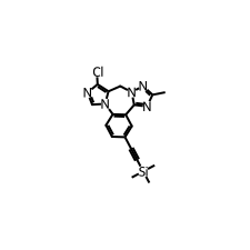 Cc1nc2n(n1)Cc1c(Cl)ncn1-c1ccc(C#C[Si](C)(C)C)cc1-2